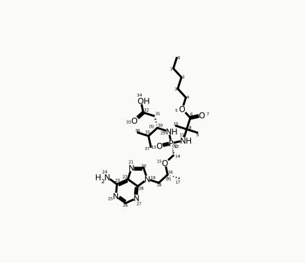 CCCCCOC(=O)C(C)(C)N[P@](=O)(CO[C@H](C)Cn1cnc2c(N)ncnc21)N[C@@H](CC(=O)O)C(C)C